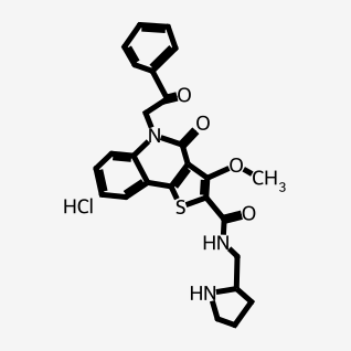 COc1c(C(=O)NCC2CCCN2)sc2c1c(=O)n(CC(=O)c1ccccc1)c1ccccc21.Cl